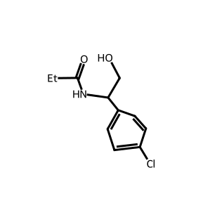 CCC(=O)NC(CO)c1ccc(Cl)cc1